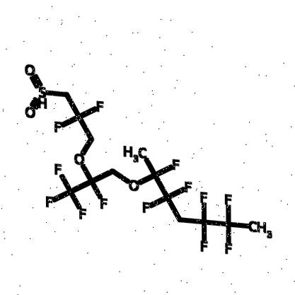 CC(F)(F)C(F)(F)CC(F)(F)C(C)(F)OCC(F)(OCC(F)(F)C[SH](=O)=O)C(F)(F)F